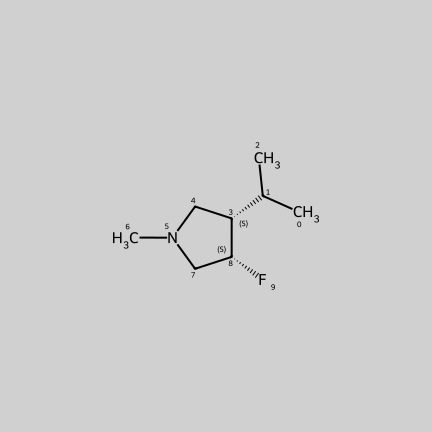 CC(C)[C@H]1CN(C)C[C@H]1F